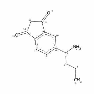 CCCC(N)c1ccc2c(c1)C(=O)CC2=O